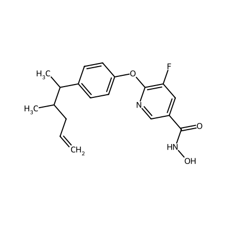 C=CCC(C)C(C)c1ccc(Oc2ncc(C(=O)NO)cc2F)cc1